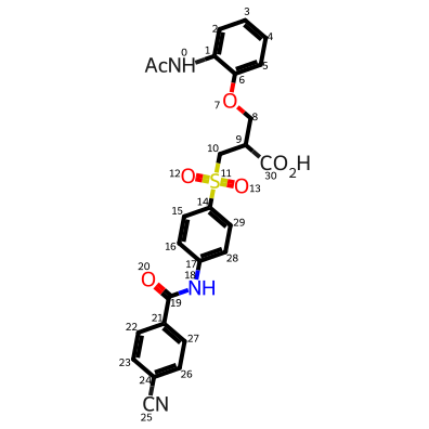 CC(=O)Nc1ccccc1OCC(CS(=O)(=O)c1ccc(NC(=O)c2ccc(C#N)cc2)cc1)C(=O)O